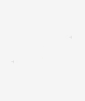 C/C=C1/CC2CC1CC2SCCCC